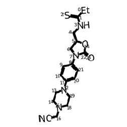 CCC(=S)NCC1CN(c2ccc(N3CCN(CC#N)CC3)cc2)C(=O)O1